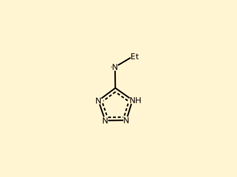 CC[N]c1nnn[nH]1